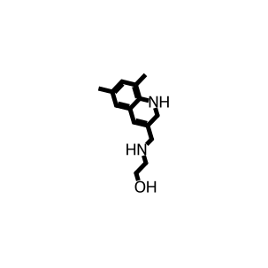 Cc1cc(C)c2c(c1)C=C(CNCCO)CN2